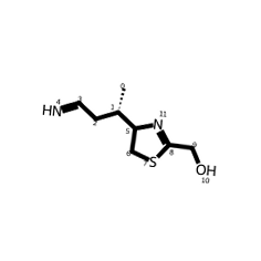 C[C@@H](CC=N)C1CSC(CO)=N1